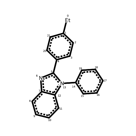 CCc1ccc(-c2nc3ccccc3n2-c2ccccc2)cc1